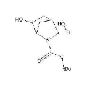 CC(C)(C)OC(=O)N1CC2CC(O)C1C2.CCO